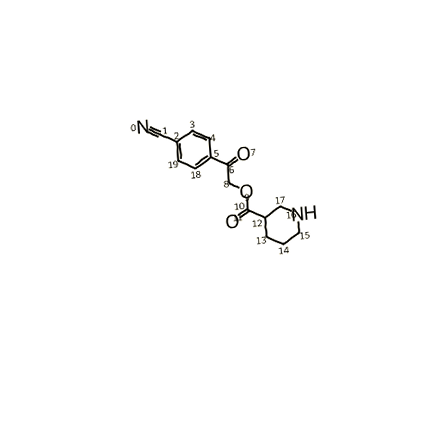 N#Cc1ccc(C(=O)COC(=O)C2CCCNC2)cc1